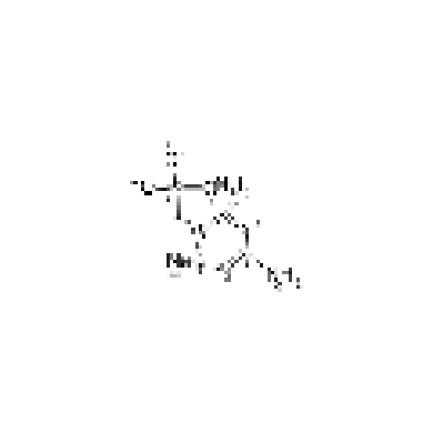 Nc1ccc(CS(=O)(=O)[O-])c(N)c1.[Na+]